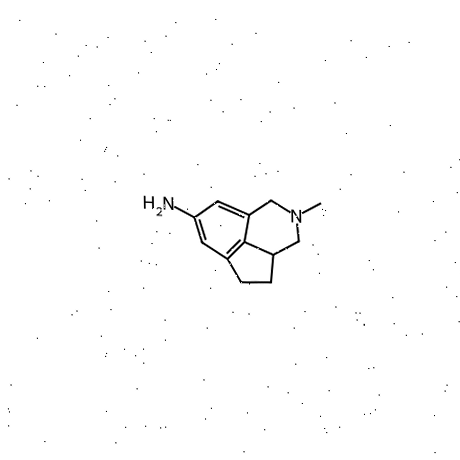 CN1Cc2cc(N)cc3c2C(CC3)C1